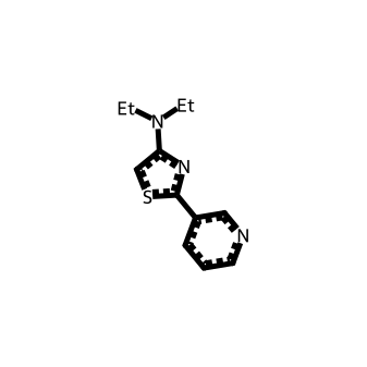 CCN(CC)c1csc(-c2cccnc2)n1